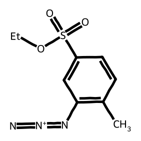 CCOS(=O)(=O)c1ccc(C)c(N=[N+]=[N-])c1